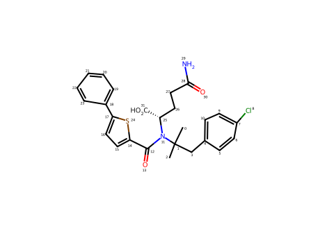 CC(C)(Cc1ccc(Cl)cc1)N(C(=O)c1ccc(-c2ccccc2)s1)[C@@H](CCC(N)=O)C(=O)O